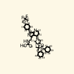 CC(C)(C)[Si](OC1CCN(c2ccnc3c2c(CNC(=O)O)nn3-c2ccc(OC(F)(F)F)cc2)C1)(c1ccccc1)c1ccccc1